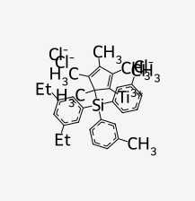 CCc1cc(CC)cc([Si](c2cccc(C)c2)(c2cccc(C)c2)C2(C)C(C)=C(C)C(C)=[C]2[Ti+3])c1.[Cl-].[Cl-].[Cl-]